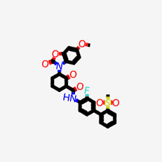 COc1ccc2c(c1)oc(=O)n2C1CCCC(C(=O)Nc2ccc(-c3ccccc3S(C)(=O)=O)cc2F)C1=O